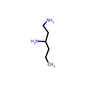 CCCC(N)CCN